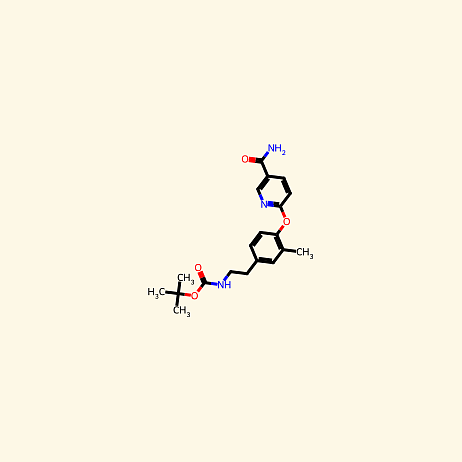 Cc1cc(CCNC(=O)OC(C)(C)C)ccc1Oc1ccc(C(N)=O)cn1